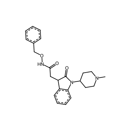 CN1CCC(N2C(=O)C(CC(=O)NOCc3ccccc3)c3ccccc32)CC1